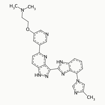 Cc1cn(-c2cccc3[nH]c(-c4n[nH]c5ccc(-c6cncc(OCCN(C)C)c6)nc45)nc23)cn1